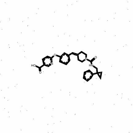 O=C(O)c1ccc(Oc2cccc(C=C3CCN(C(=O)NCC4(c5ccccc5)CC4)CC3)c2)nc1